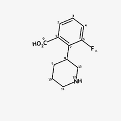 O=C(O)c1cccc(F)c1C1CCCNC1